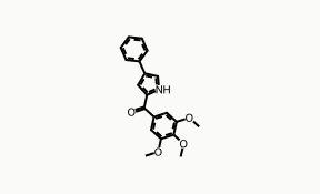 COc1cc(C(=O)c2cc(-c3ccccc3)c[nH]2)cc(OC)c1OC